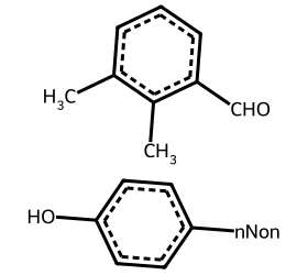 CCCCCCCCCc1ccc(O)cc1.Cc1cccc(C=O)c1C